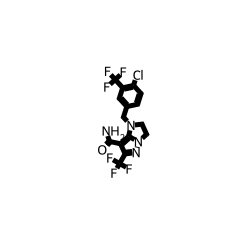 NC(=O)c1c(C(F)(F)F)nn2c1N(Cc1ccc(Cl)c(C(F)(F)F)c1)CC2